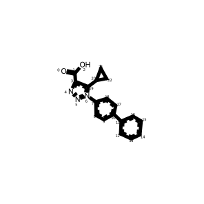 O=C(O)c1nnn(-c2ccc(-c3ccccc3)cc2)c1C1CC1